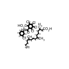 CC(C)CCCC(C)CCCC(C)CCCC(C)CC(=O)O.O=C(O)c1c(Cl)c(Cl)c(Cl)c(Cl)c1C(=O)Nc1cccc(C(F)(F)F)c1